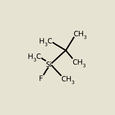 CC(C)(C)[Si](C)(C)F